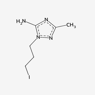 Cc1nc(N)n(CCCI)n1